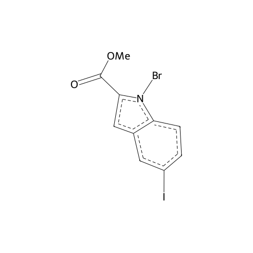 COC(=O)c1cc2cc(I)ccc2n1Br